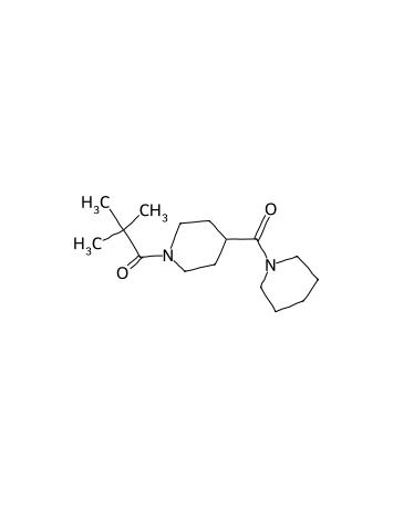 CC(C)(C)C(=O)N1CCC(C(=O)N2CCCCC2)CC1